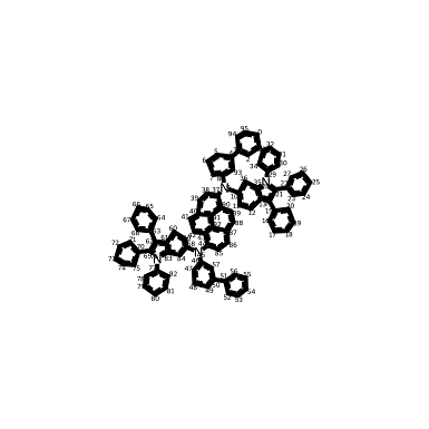 c1ccc(-c2cccc(N(c3ccc4c(-c5ccccc5)c(-c5ccccc5)n(-c5ccccc5)c4c3)c3ccc4ccc5c(N(c6cccc(-c7ccccc7)c6)c6ccc7c(-c8ccccc8)c(-c8ccccc8)n(-c8ccccc8)c7c6)ccc6ccc3c4c65)c2)cc1